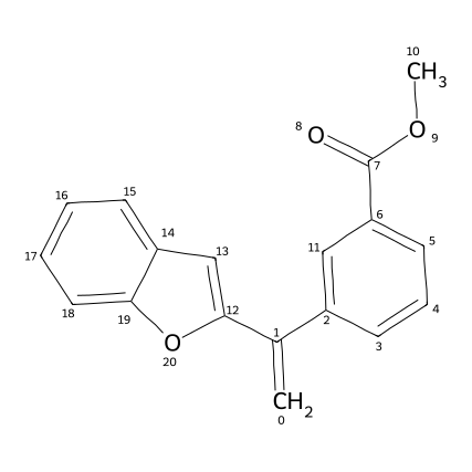 C=C(c1cccc(C(=O)OC)c1)c1cc2ccccc2o1